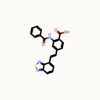 O=C(Nc1cc(C=Cc2cccc3nsnc23)ccc1C(=O)O)c1ccccc1